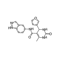 CC1=C(C(=O)Nc2ccc3[nH]ncc3c2)C(c2ccoc2)NC(=O)N1